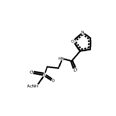 CC(=O)NS(=O)(=O)CCNC(=O)c1ccno1